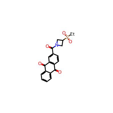 CCS(=O)(=O)C1CN(C(=O)c2ccc3c(c2)C(=O)c2ccccc2C3=O)C1